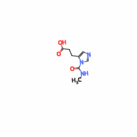 CNC(=O)n1cncc1CCC(=O)O